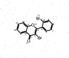 O=c1c(Br)c(-c2ccccc2Br)oc2ccccc12